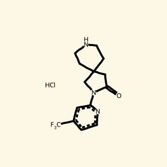 Cl.O=C1CC2(CCNCC2)CN1c1cc(C(F)(F)F)ccn1